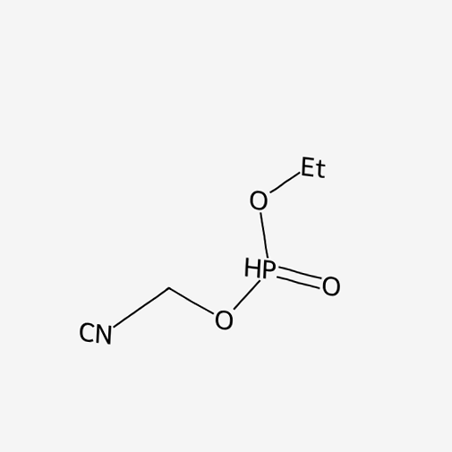 [C-]#[N+]CO[PH](=O)OCC